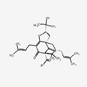 CC(C)=CCC1=C2O[C@H](C(C)(C)O)C[C@@]23C[C@H](CC=C(C)C)C(C)(C)[C@@](C(=O)C(C)C)(C1=O)C3=O